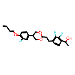 C=CCCOc1ccc(C2COC(CCc3ccc(C(C)O)c(F)c3F)OC2)cc1F